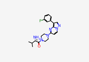 CC(C)[C@H](N)C(=O)N1CCN(c2ccn3ncc(-c4cccc(F)c4)c3n2)CC1